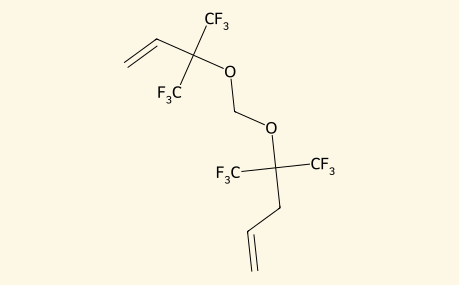 C=CCC(OCOC(C=C)(C(F)(F)F)C(F)(F)F)(C(F)(F)F)C(F)(F)F